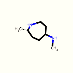 CNC1CCN[C@@H](C)CC1